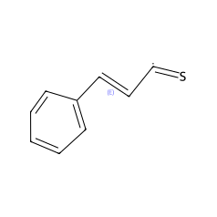 S=[C]/C=C/c1ccccc1